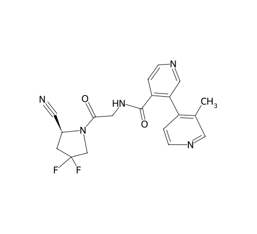 Cc1cnccc1-c1cnccc1C(=O)NCC(=O)N1CC(F)(F)C[C@H]1C#N